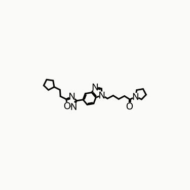 O=C(CCCCn1cnc2cc(-c3noc(CCC4CCCC4)n3)ccc21)N1CCCC1